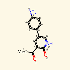 COC(=O)c1cc(-c2ccc(N)cc2)c[nH]c1=O